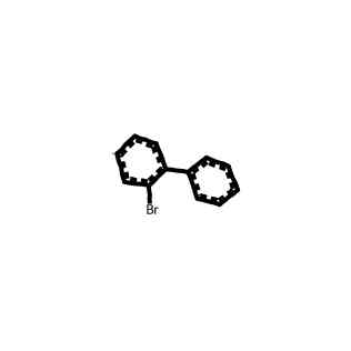 Brc1c[c]ccc1-c1ccccc1